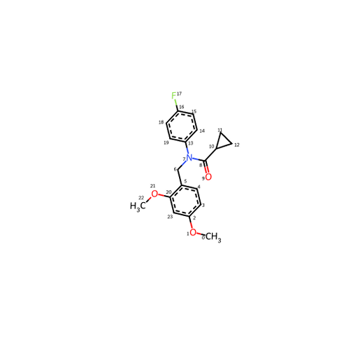 COc1ccc(CN(C(=O)C2CC2)c2ccc(F)cc2)c(OC)c1